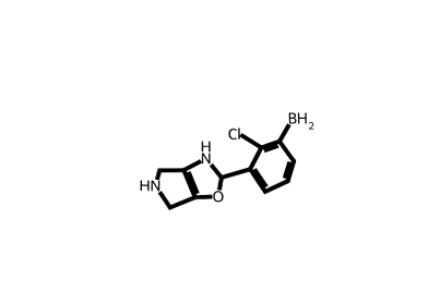 Bc1cccc(C2NC3=C(CNC3)O2)c1Cl